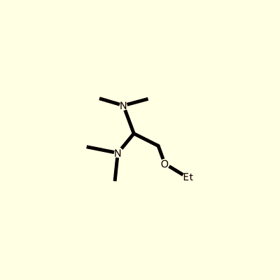 CCOCC(N(C)C)N(C)C